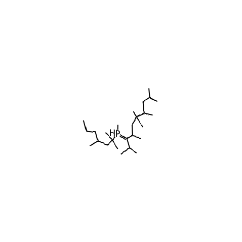 CCCC(C)CC(C)(C)/[PH](C)=C(\C(C)C)C(C)CC(C)(C)C(C)CC(C)C